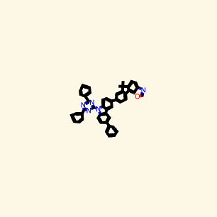 CC1(C)c2cc(-c3ccc4c(c3)c3cc(-c5ccccc5)ccc3n4-c3nc(-c4ccccc4)nc(-c4ccccc4)n3)ccc2-c2c1ccc1ncoc21